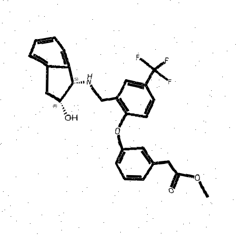 COC(=O)Cc1cccc(Oc2ccc(C(F)(F)F)cc2CN[C@H]2c3ccccc3C[C@H]2O)c1